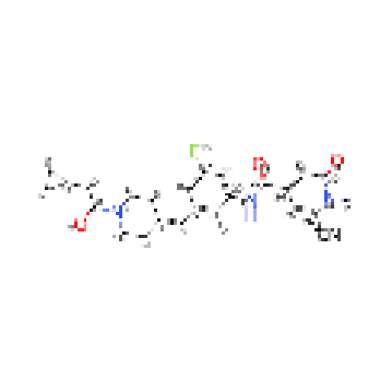 Cc1c(C=C2CCN(C(=O)CC3CC3)CC2)cc(F)cc1NC(=O)c1cc(C#N)n(C)c(=O)c1